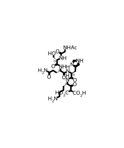 CC(=O)NCC(=O)N[C@@H](CO)C(=O)N[C@@H](CCC(N)=O)C(=O)N[C@@H](Cc1c[nH]cn1)C(=O)N[C@@H](CCCCN)C(=O)[C](C(=O)O)C(=O)O